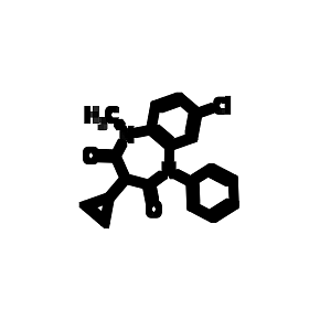 CN1C(=O)C(C2CC2)C(=O)N(c2ccccc2)c2cc(Cl)ccc21